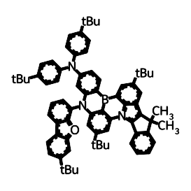 CC(C)(C)c1ccc(N(c2ccc(C(C)(C)C)cc2)c2ccc3c(c2)N(c2cccc4c2oc2cc(C(C)(C)C)ccc24)c2cc(C(C)(C)C)cc4c2B3c2cc(C(C)(C)C)cc3c5c(n-4c23)-c2ccccc2C5(C)C)cc1